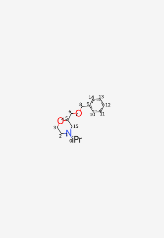 CC(C)N1CCOC(COCc2ccccc2)C1